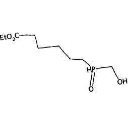 CCOC(=O)CCCCC[PH](=O)CO